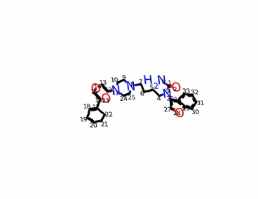 NC(=O)N(CCCCN1CCN(C2=COC=C(C3=CC=CCC3)O2)CC1)c1coc2ccccc12